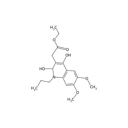 CCCN1c2cc(OC)c(OC)cc2C(O)=C(CC(=O)OCC)C1O